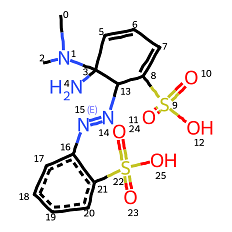 CN(C)C1(N)C=CC=C(S(=O)(=O)O)C1/N=N/c1ccccc1S(=O)(=O)O